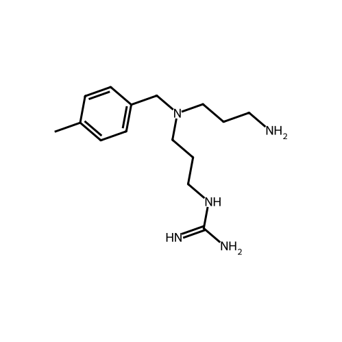 Cc1ccc(CN(CCCN)CCCNC(=N)N)cc1